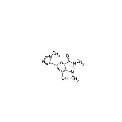 C=Nc1c(O)cc(-c2cncn2C)cc1C(=O)NC